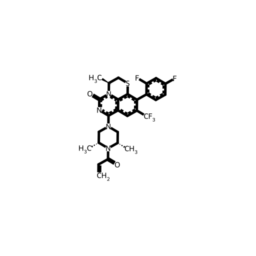 C=CC(=O)N1[C@H](C)CN(c2nc(=O)n3c4c(c(-c5ccc(F)cc5F)c(C(F)(F)F)cc24)SC[C@@H]3C)C[C@@H]1C